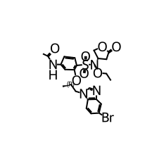 CCON(C1COC(=O)C1)S(=O)(=O)c1ccc(NC(C)=O)cc1O[C@H](C)Cn1cnc2cc(Br)ccc21